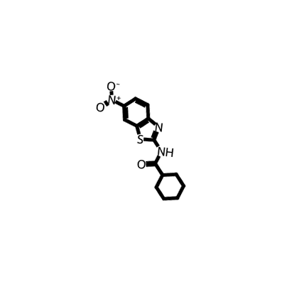 O=C(Nc1nc2ccc([N+](=O)[O-])cc2s1)C1CCCCC1